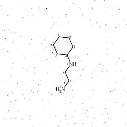 NCCNC1CCCCC1